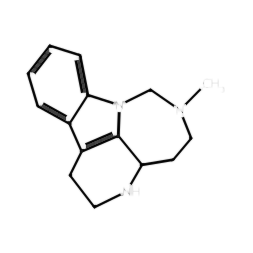 CN1CCC2NCCc3c2n(c2ccccc32)C1